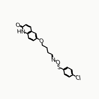 O=c1ccc2cc(OCCCC=NOSc3ccc(Cl)cc3)ccc2[nH]1